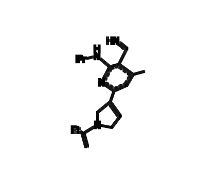 C=C(CC)N1CC=C(c2cc(C)c(C=N)c(NC(C)C)n2)C1